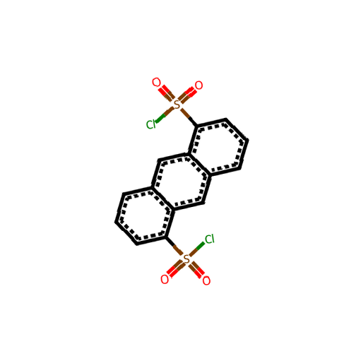 O=S(=O)(Cl)c1cccc2cc3c(S(=O)(=O)Cl)cccc3cc12